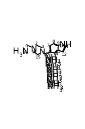 CN1CCN(Cc2ccc3[nH]ccc3c2)CC1.N.N.N.N.N.N.N.N.N.N.N